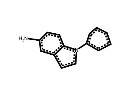 Nc1ccc2c(ccn2-c2ccccc2)c1